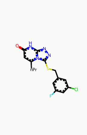 CCCc1cc(=O)[nH]c2nnc(SCc3cc(F)cc(Cl)c3)n12